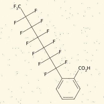 O=C(O)c1ccccc1C(F)(F)C(F)(F)C(F)(F)C(F)(F)C(F)(F)C(F)(F)C(F)(F)F